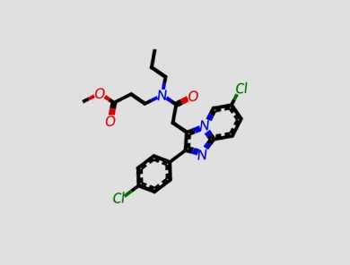 CCCN(CCC(=O)OC)C(=O)Cc1c(-c2ccc(Cl)cc2)nc2ccc(Cl)cn12